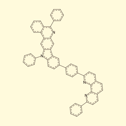 c1ccc(-c2ccc3ccc4ccc(-c5ccc(-c6ccc7c(c6)c6cc8nc(-c9ccccc9)c9ccccc9c8cc6n7-c6ccccc6)cc5)nc4c3n2)cc1